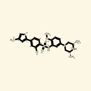 COc1ccc(N2C[C@@H](C)N[C@@H](C)C2)cc1NS(=O)(=O)c1ccc(-c2cc(C)cs2)cc1Cl